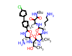 C[C@H](NC(=O)[C@@H](NC(=O)[C@H](CN)NC(=O)c1ccc(-c2ccc(Cl)cc2)cc1)[C@@H](C)O)C(=O)N[C@@H](CCCCN)C(=O)N[C@@H](C)C(=O)C(=O)NC(C)(C)C